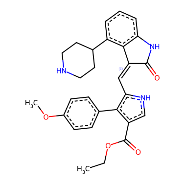 CCOC(=O)c1c[nH]c(/C=C2\C(=O)Nc3cccc(C4CCNCC4)c32)c1-c1ccc(OC)cc1